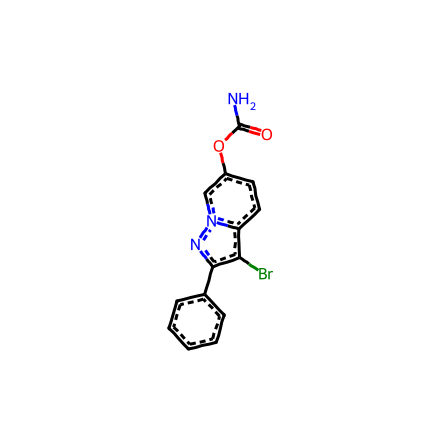 NC(=O)Oc1ccc2c(Br)c(-c3ccccc3)nn2c1